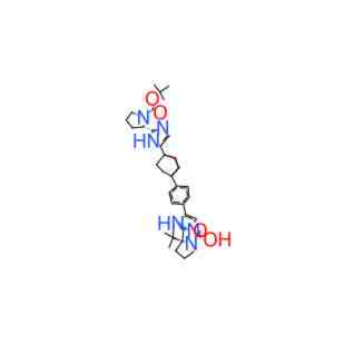 CC(C)(C)OC(=O)N1CCC[C@H]1c1ncc(C23CCC(c4ccc(-c5cnc([C@@]6(C(C)(C)C)CCCN6C(=O)O)[nH]5)cc4)(CC2)CC3)[nH]1